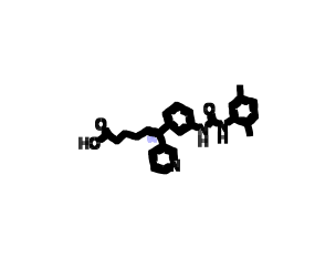 Cc1ccc(C)c(NC(=O)Nc2cccc(/C(=C/CCCC(=O)O)c3cccnc3)c2)c1